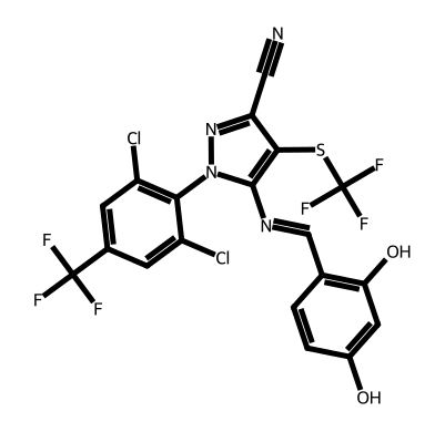 N#Cc1nn(-c2c(Cl)cc(C(F)(F)F)cc2Cl)c(N=Cc2ccc(O)cc2O)c1SC(F)(F)F